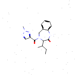 CCC(C)C1C(=O)Nc2ccccc2CN1C(=O)c1cnn(C)n1